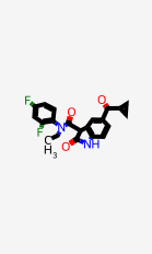 CCN(C(=O)C1C(=O)Nc2ccc(C(=O)C3CC3)cc21)c1ccc(F)cc1F